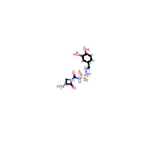 N[C@H]1CN(C(=O)NS(=O)(=O)N/N=C/c2ccc(O)c(O)c2)C1=O